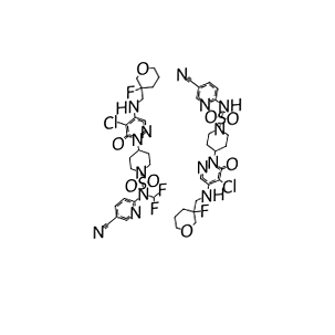 N#Cc1ccc(N(C(F)F)S(=O)(=O)N2CCC(n3ncc(NCC4(F)CCCOC4)c(Cl)c3=O)CC2)nc1.N#Cc1ccc(NS(=O)(=O)N2CCC(n3ncc(NCC4(F)CCCOC4)c(Cl)c3=O)CC2)nc1